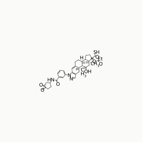 CCC(=O)O[C@]1(C(=O)S)CCC2[C@@H]3CCC4=Cc5c(cnn5-c5cccc(C(=O)NC6CCS(=O)(=O)C6)c5)C[C@]4(C)C3[C@@H](O)C[C@@]21C